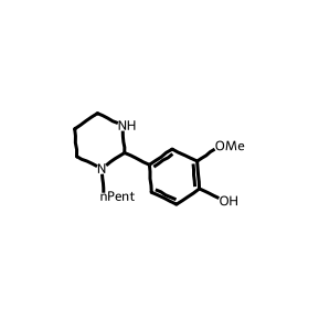 CCCCCN1CCCNC1c1ccc(O)c(OC)c1